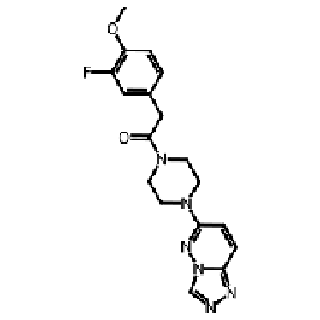 COc1ccc(CC(=O)N2CCN(c3ccc4nncn4n3)CC2)cc1F